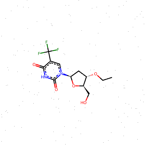 CCO[C@H]1C[C@H](n2cc(C(F)(F)F)c(=O)[nH]c2=O)O[C@@H]1CO